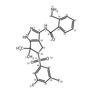 CC1(C)c2[nH]nc(NC(=O)c3ccccc3CN)c2CN1S(=O)(=O)c1cc(F)cc(F)c1